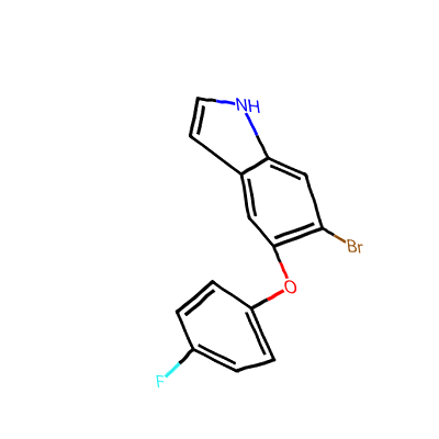 Fc1ccc(Oc2cc3cc[nH]c3cc2Br)cc1